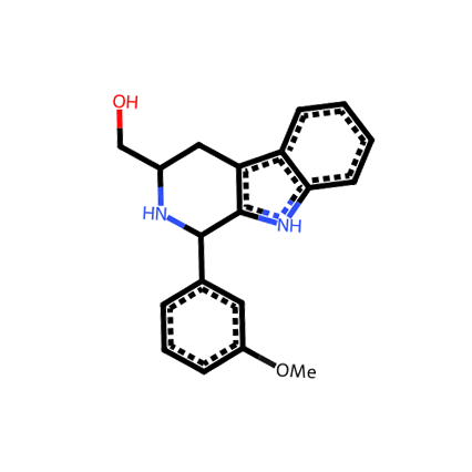 COc1cccc(C2NC(CO)Cc3c2[nH]c2ccccc32)c1